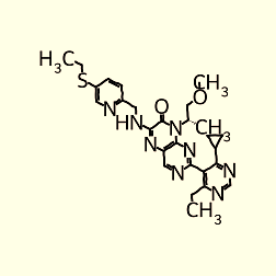 CCSc1ccc(CNc2nc3cnc(-c4c(CC)ncnc4C4CC4)nc3n([C@@H](C)COC)c2=O)nc1